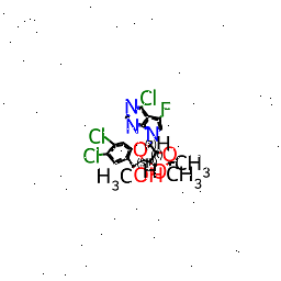 CC1(C)O[C@@H]2[C@H](O1)[C@@H](C(C)(O)c1ccc(Cl)c(Cl)c1)O[C@H]2n1cc(F)c2c(Cl)ncnc21